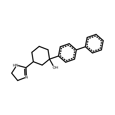 OC1(c2ccc(-c3ccccc3)cc2)CCCC(C2=NCCN2)C1